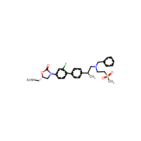 CC(=O)NC[C@H]1CN(c2ccc(-c3ccc([C@H](C)CN(CCS(C)(=O)=O)Cc4ccccc4)cc3)c(F)c2)C(=O)O1